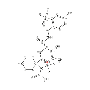 CC(C)(C)N(C(=O)O)C1(c2nc(O)c(O)c(C(=O)NCc3ccc(F)cc3S(C)(=O)=O)n2)CCOCC1